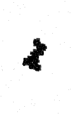 CCCc1c(Oc2ncc(NC(=O)c3ccccc3Oc3ccccc3)cc2C)ccc2c1C(C(=O)NCC(F)(F)F)c1ccccc1-2